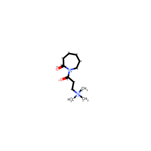 C[N+](C)(C)CCC(=O)N1CCCCCC1=O